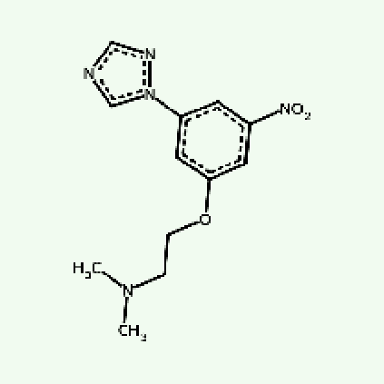 CN(C)CCOc1cc(-n2cncn2)cc([N+](=O)[O-])c1